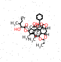 C=C[C@H]1O[C@H]2C[C@H]3OC[C@@]3(OC(C)=O)[C@H]3[C@H](OC(=O)c4ccccc4)[C@]4(C(C)(C)O)C[C@H](OC(=O)[C@H](O)[C@@H](C)CC(C)C)C(C)=C4[C@H](C)[C@H](O1)[C@]23C